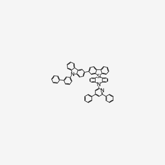 c1ccc(-c2cccc(-n3c4ccccc4c4cc(-c5ccc6c(c5)[Si]5(c7ccccc7-6)c6ccccc6N(c6cc(-c7ccccc7)cc(-c7ccccc7)n6)c6ccccc65)ccc43)c2)cc1